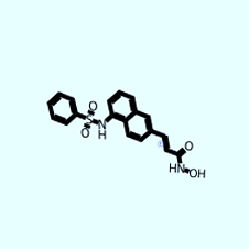 O=C(/C=C/c1ccc2c(NS(=O)(=O)c3ccccc3)cccc2c1)NO